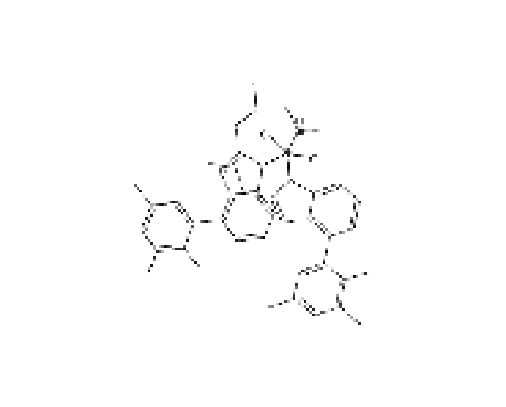 CCCC1=Cc2c(-c3cc(C)cc(C)c3C)cccc2[CH]1[Zr]([Cl])([Cl])([CH]1C(CCC)=Cc2c(-c3cc(C)cc(C)c3C)cccc21)[SiH](C)C